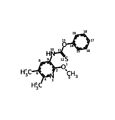 COc1nc(C)c(C)cc1NC(=S)Oc1ccccc1